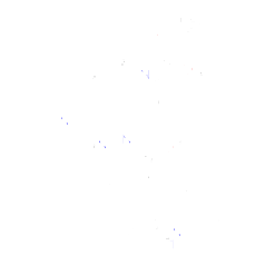 Cc1cc2c(C(=O)n3nc(N)c4c3CN(C(=O)OC(C)(C)C)CC4)cccc2[nH]1